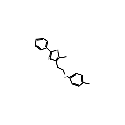 Cc1ccc(OCCc2nc(-c3ccccc3)sc2C)cc1